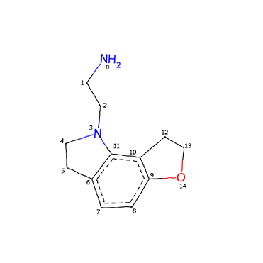 NCCN1CCc2ccc3c(c21)CCO3